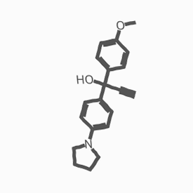 C#CC(O)(c1ccc(OC)cc1)c1ccc(N2CCCC2)cc1